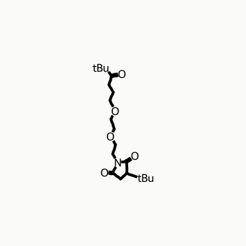 CC(C)(C)C(=O)CCCOCCOCCN1C(=O)CC(C(C)(C)C)C1=O